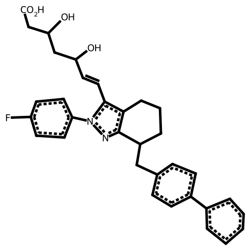 O=C(O)CC(O)CC(O)C=Cc1c2c(nn1-c1ccc(F)cc1)C(Cc1ccc(-c3ccccc3)cc1)CCC2